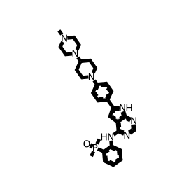 CN1CCN(C2CCN(c3ccc(-c4cc5c(Nc6ccccc6P(C)(C)=O)ncnc5[nH]4)cc3)CC2)CC1